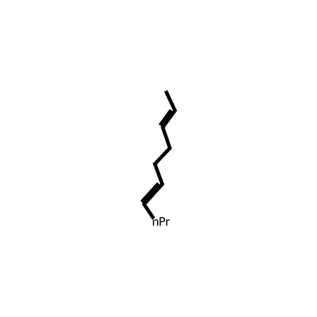 CC=CCCC=CCCC